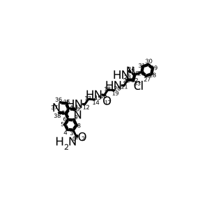 NC(=O)c1ccc2c(c1)nc(NCCCNC(=O)CCNCc1[nH]nc(-c3ccccc3)c1Cl)c1ccncc12